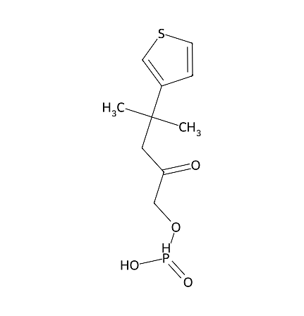 CC(C)(CC(=O)CO[PH](=O)O)c1ccsc1